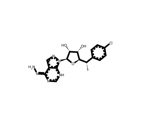 C[C@@H](c1ccc(Cl)cc1)[C@H]1O[C@@H](n2ncc3/c(=N\N)nc[nH]c32)[C@H](O)[C@@H]1O